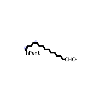 CCCCC/C=C\C/C=C\CCCCCCCCC[C]=O